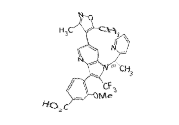 COc1cc(C(=O)O)ccc1-c1c(C(F)(F)F)n([C@@H](C)c2ccccn2)c2cc(-c3c(C)noc3C)cnc12